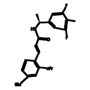 CCCc1cc(C(C)(C)C)ccc1/C=C/C(=O)N[C@H](C)c1cc(F)c(C)c(F)c1